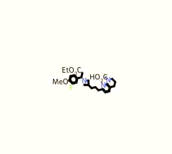 CCOC(=O)CC(c1ccc(OC)c(F)c1)N1CC(CCCc2ccc3c(n2)N(C(=O)O)CCC3)C1